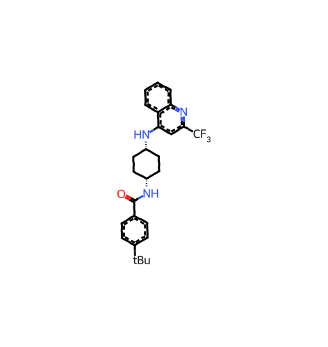 CC(C)(C)c1ccc(C(=O)N[C@H]2CC[C@@H](Nc3cc(C(F)(F)F)nc4ccccc34)CC2)cc1